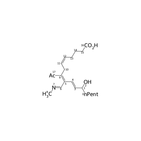 CCCCCC(O)/C=C/C(/C=N/C)=C(\C/C=C\CCCC(=O)O)C(C)=O